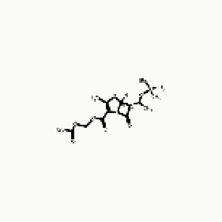 CC1=C(C(=O)OCOC(=O)C(C)(C)C)N2C(=O)[C@H](C(C)O[Si](C)(C)C(C)(C)C)[C@H]2S1